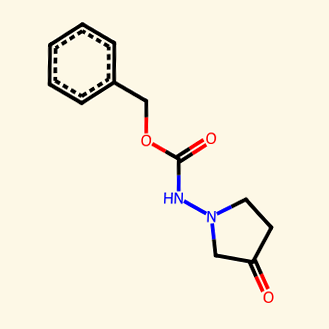 O=C1CCN(NC(=O)OCc2ccccc2)C1